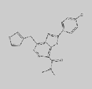 CN(C)C(=O)c1nnc(Cc2ccsc2)c2cc(-c3ccc(Cl)cc3)sc12